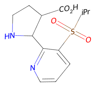 CC(C)S(=O)(=O)c1cccnc1C1NCCC1C(=O)O